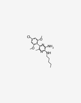 CCCCCNc1nc(C)c(-c2c(OC)cc(Cl)cc2OC)nc1N